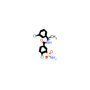 C[C@@H](NC(=O)c1ccc(Cl)c(S(N)(=O)=O)c1)c1cccc(Cl)c1